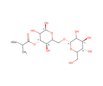 CCCCCCCCCCC(C)C(=O)O[C@@H]1C(O)[C@@H](O)OC(CO[C@H]2OC(CO)[C@@H](O)[C@H](O)C2O)[C@H]1O